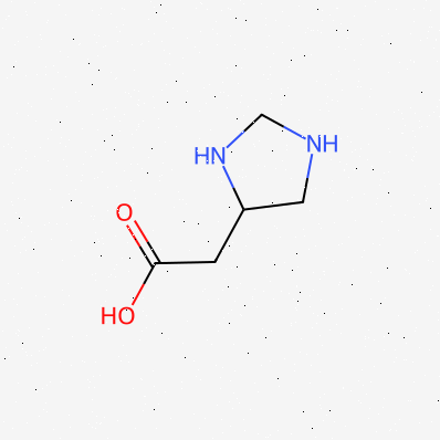 O=C(O)CC1CNCN1